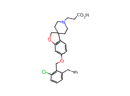 CC(C)Cc1cccc(Cl)c1COc1ccc2c(c1)OCC21CCN(CCC(=O)O)CC1